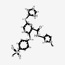 Cn1ccc(NC(=O)c2nc(Sc3nnc[nH]3)cnc2Sc2ccc(S(C)(=O)=O)cc2)n1